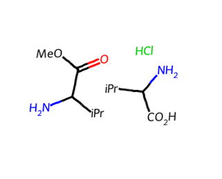 CC(C)C(N)C(=O)O.COC(=O)C(N)C(C)C.Cl